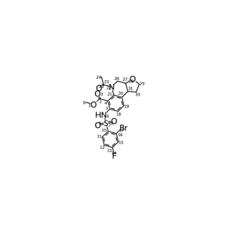 COC(=O)c1c(NS(=O)(=O)c2ccc(F)cc2Br)ccc2c1N(C(C)=O)CC1OCCC21